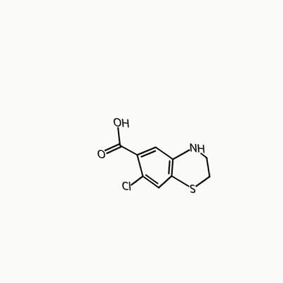 O=C(O)c1cc2c(cc1Cl)SCCN2